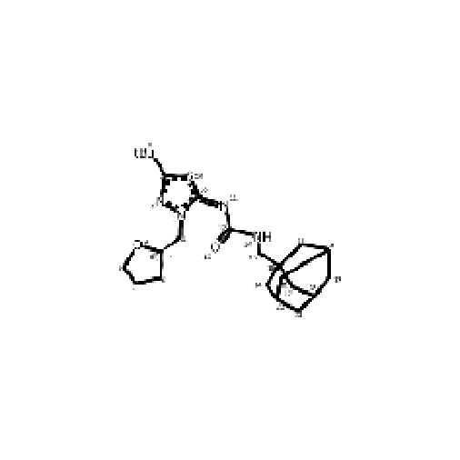 CC(C)(C)c1nn(C[C@H]2CCCO2)c(=NC(=O)NCC23CC4CC(CC(C4)C2)C3)s1